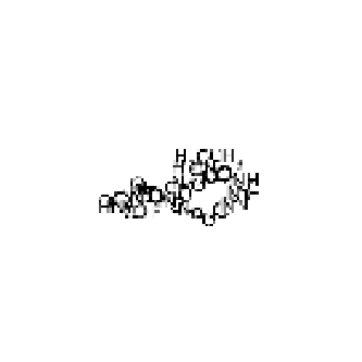 CNC(=O)COc1cc2cc(Nc3nc(N4CCC(O[C@H]5C[C@H](N6CCN(c7ccc8c(c7F)C(=O)N(C7CCC(=O)NC7=O)C8=O)CC6)C5)CC4)ncc3Cl)ccc2n(C(C)C)c1=O